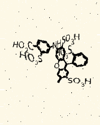 C=c1cc2c(cc1S(=O)(=O)O)=C(c1ccccc1S(=O)(=O)O)c1cc(S(=O)(=O)O)c(Nc3ccc(C(=O)O)c(S(=O)(=O)O)c3)cc1O2